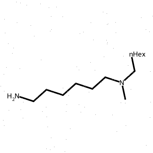 CCCCCCCN(C)CCCCCCN